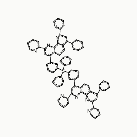 c1ccc(-c2cc(-c3ccccn3)nc3c2ccc2c(-c4cccc(S(c5ccccc5)(c5ccccc5)c5cccc(-c6cc(-c7ccccn7)nc7c6ccc6c(-c8ccccc8)cc(-c8ccccn8)nc67)c5)c4)cc(-c4ccccn4)nc23)cc1